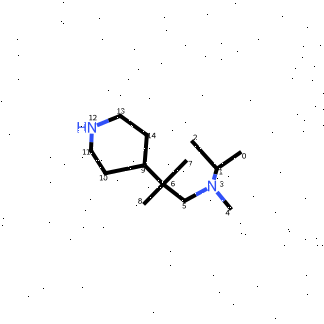 CC(C)N(C)CC(C)(C)C1CCNCC1